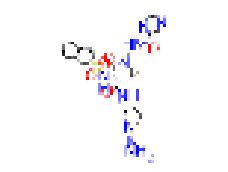 NN=CN1CCC[C@@H](CNC(=O)C[C@H](NS(=O)(=O)c2ccc3ccccc3c2)C(=O)N(CCNC(=O)c2cnccn2)C2CC2)C1